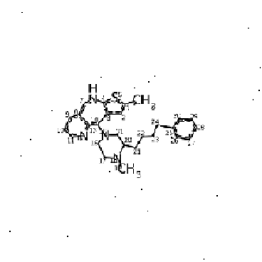 Cc1cc2c(s1)NC=c1cccnc1=C2N1CCN(C)C(CCCCc2ccccc2)C1